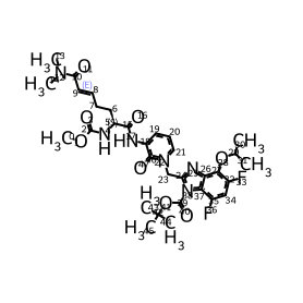 COC(=O)N[C@@H](CC/C=C/C(=O)N(C)C)C(=O)Nc1cccn(Cc2nc3c(OC(C)C)c(F)cc(F)c3n2C(=O)OC(C)(C)C)c1=O